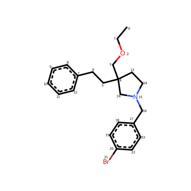 CCOCC1(CCc2ccccc2)CCN(Cc2ccc(Br)cc2)C1